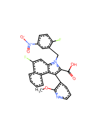 COc1ncccc1-c1c(C(=O)O)n(Cc2cc([N+](=O)[O-])ccc2F)c2cc(F)c3ccccc3c12